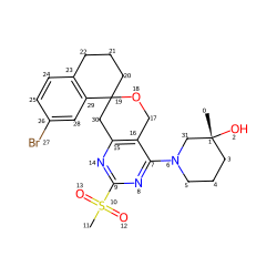 C[C@@]1(O)CCCN(c2nc(S(C)(=O)=O)nc3c2COC2(CCCc4ccc(Br)cc42)C3)C1